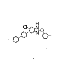 Cc1cccc(Oc2nc3cc(-c4ccc(-c5ccccc5)cc4)c(Cl)cc3[nH]2)c1